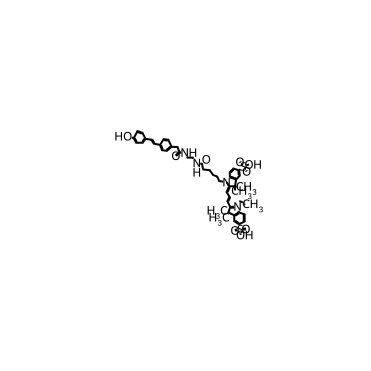 CC[N+]1=C(/C=C/C=C2/N(CCCCCC(=O)NCCNC(=O)Cc3ccc(/C=C/c4ccc(O)cc4)cc3)c3ccc(S(=O)(=O)O)cc3C2(C)C)C(C)(C)c2cc(S(=O)(=O)O)ccc21